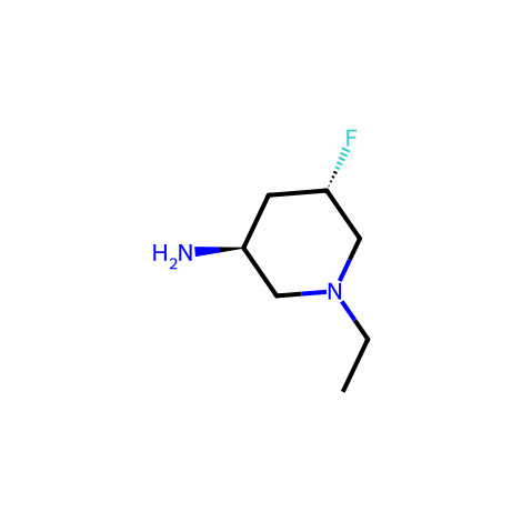 CCN1C[C@@H](N)C[C@H](F)C1